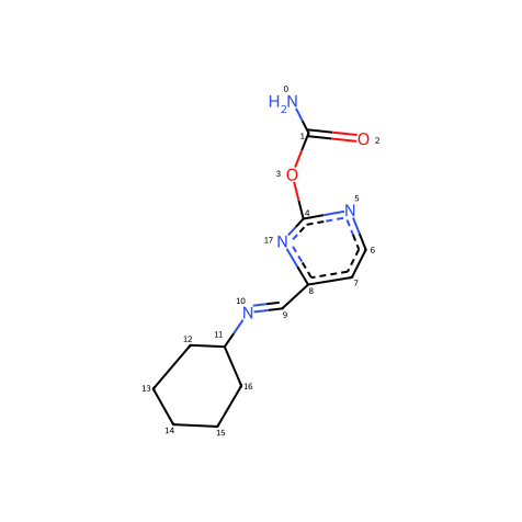 NC(=O)Oc1nccc(C=NC2CCCCC2)n1